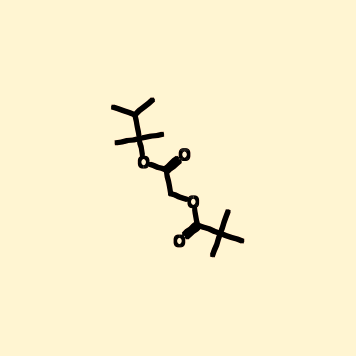 CC(C)C(C)(C)OC(=O)COC(=O)C(C)(C)C